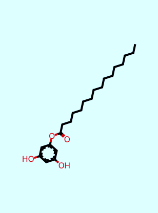 CCCCCCCCCCCCCCCC(=O)Oc1cc(O)cc(O)c1